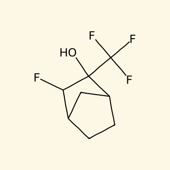 OC1(C(F)(F)F)C2CCC(C2)C1F